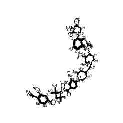 COc1cc(OC2C(C)(C)C(NC(=O)c3ccc(N4CCC(CN5CC[C@H](n6ncc7c(N8CCC(=O)NC8=O)cccc76)[C@H](F)C5)CC4)c(F)c3)C2(C)C)ccc1C#N